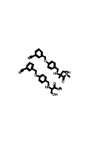 CNC(=O)C(C)(CO)NCc1ccc(OCc2cccc(C#N)c2)cc1.CNC(=O)C(CO)NCc1ccc(OCc2cccc(C#N)c2)cc1